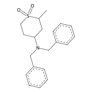 CC1CC(N(Cc2ccccc2)Cc2ccccc2)CCS1(=O)=O